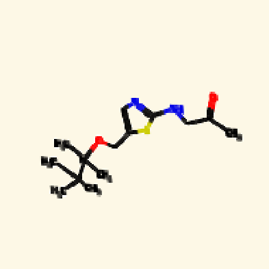 CC(=O)CNc1ncc(CO[Si](C)(C)C(C)(C)C)s1